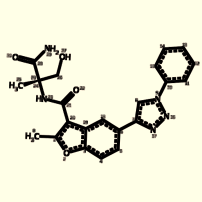 Cc1oc2ccc(-c3cn(-c4ccccc4)nn3)cc2c1C(=O)N[C@@](C)(CO)C(N)=O